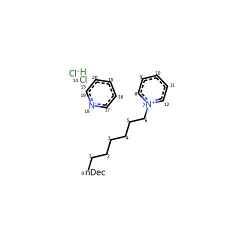 CCCCCCCCCCCCCCCC[n+]1ccccc1.Cl.[Cl-].c1ccncc1